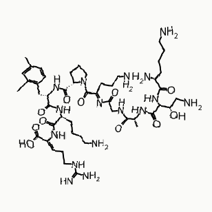 Cc1ccc(C[C@H](NC(=O)[C@@H]2CCCN2C(=O)/C(CCCN)=N/C(=O)CNC(=O)[C@H](C)NC(=O)[C@@H](NC(=O)[C@@H](N)CCCCN)[C@@H](O)CN)C(=O)N[C@@H](CCCCN)C(=O)N/C(=C\CCNC(=N)N)C(=O)O)c(C)c1